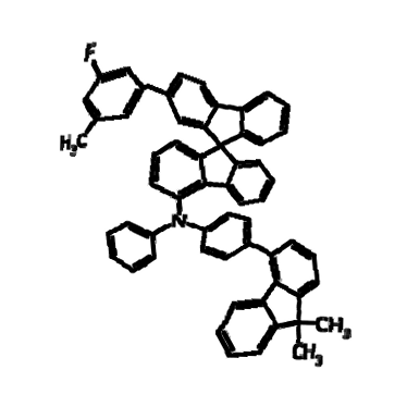 Cc1cc(F)cc(-c2ccc3c(c2)C2(c4ccccc4-3)c3ccccc3-c3c(N(c4ccccc4)c4ccc(-c5cccc6c5-c5ccccc5C6(C)C)cc4)cccc32)c1